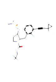 CN(C)S(=O)(=O)NC1CCN(C(=O)NCC(C)(F)F)C1Cc1cccc(C#CC2(C)CC2)c1F